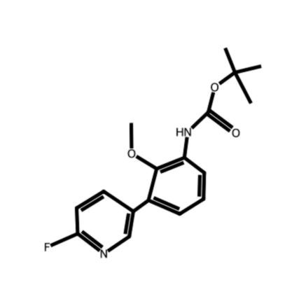 COc1c(NC(=O)OC(C)(C)C)cccc1-c1ccc(F)nc1